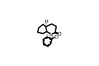 O=C1CC[C@@H]2CCCC[C@]2(c2ccccc2Cl)N1